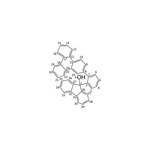 OC1(c2ccccc2-c2ccc3c4ccccc4c4ccccc4c3c2)c2ccccc2-c2ccccc21